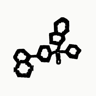 O=P(c1ccccc1)(c1ccc(-c2cccc3nccnc23)cc1)c1ccc2ccccc2c1